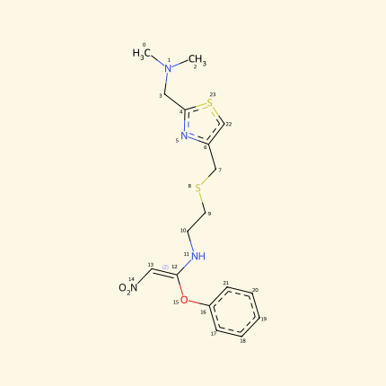 CN(C)Cc1nc(CSCCN/C(=C/[N+](=O)[O-])Oc2ccccc2)cs1